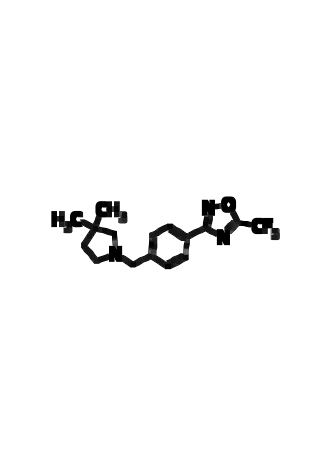 CC1(C)CCN(Cc2ccc(-c3noc(C(F)(F)F)n3)cc2)C1